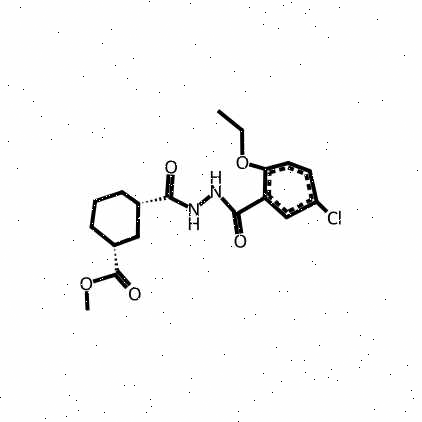 CCOc1ccc(Cl)cc1C(=O)NNC(=O)[C@H]1CCC[C@@H](C(=O)OC)C1